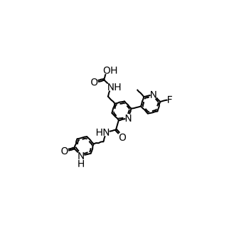 Cc1nc(F)ccc1-c1cc(CNC(=O)O)cc(C(=O)NCc2ccc(=O)[nH]c2)n1